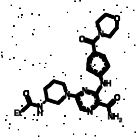 CCC(=O)N[C@@H]1CCCN(c2cnc(C(N)=O)c(Nc3ccc(C(=O)N4CCOCC4)cc3)n2)C1